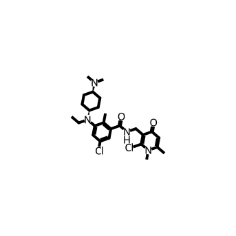 CCN(c1cc(Cl)cc(C(=O)NCc2c(Cl)n(C)c(C)cc2=O)c1C)[C@H]1CC[C@H](N(C)C)CC1